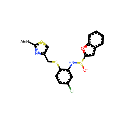 CNc1nc(CSc2ccc(Cl)cc2N[S+]([O-])c2cc3ccccc3o2)cs1